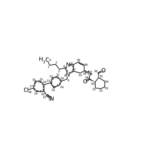 CCCCc1nc2c(n1Cc1ccc(-c3ccc(Cl)cc3C#N)cc1)CC(=NC(=O)[C@@H]1CCCC[C@@H]1C=O)C=C2